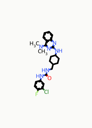 CN(C)c1nc(NC2CCC(CNC(=O)Nc3ccc(F)c(Cl)c3)CC2)nc2ccccc12